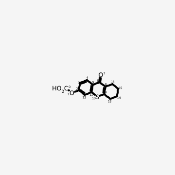 O=C(O)Oc1ccc2c(=O)c3c(sc2c1)CCCC3